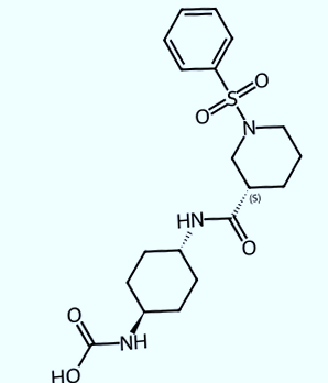 O=C(O)N[C@H]1CC[C@H](NC(=O)[C@H]2CCCN(S(=O)(=O)c3ccccc3)C2)CC1